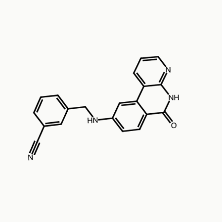 N#Cc1cccc(CNc2ccc3c(=O)[nH]c4ncccc4c3c2)c1